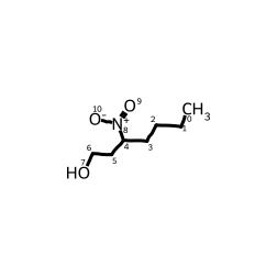 CCCCC(CCO)[N+](=O)[O-]